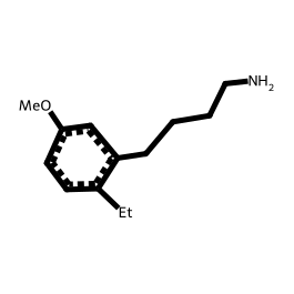 CCc1ccc(OC)cc1CCCCN